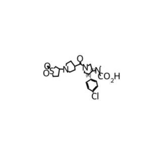 CN(C(=O)O)[C@@H]1CN(C(=O)C2CCN(C3CCS(=O)(=O)C3)CC2)C[C@H]1c1ccc(Cl)cc1